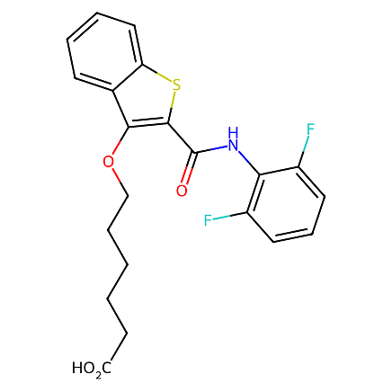 O=C(O)CCCCCOc1c(C(=O)Nc2c(F)cccc2F)sc2ccccc12